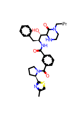 Cc1csc([C@H]2CCCN2C(=O)c2cccc(C(=O)N[C@@H](Cc3ccccc3)[C@H](O)C3NCCN(CC(C)C)C3=O)c2)n1